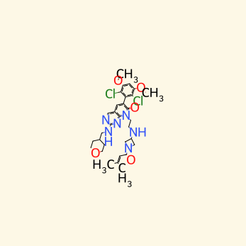 COc1cc(OC)c(Cl)c(-c2cc3cnc(NCC4CCOCC4)nc3n(CCNC3CN(C(=O)C=C(C)C)C3)c2=O)c1Cl